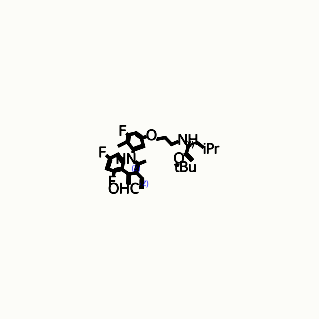 C=C(C(/C=C\C=O)=C(/C)Nc1cc(OCCCN[C@@H](CC(C)C)C(=C)OC(C)(C)C)cc(F)c1C)c1ccc(F)cc1F